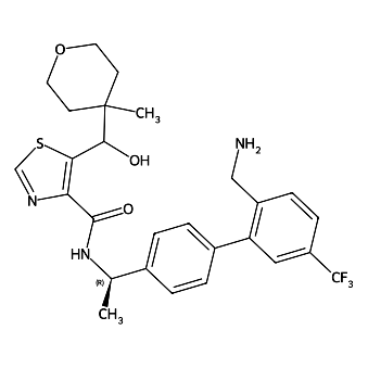 C[C@@H](NC(=O)c1ncsc1C(O)C1(C)CCOCC1)c1ccc(-c2cc(C(F)(F)F)ccc2CN)cc1